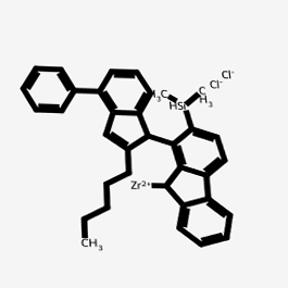 CCCCCC1=Cc2c(-c3ccccc3)cccc2C1c1c([SiH](C)C)ccc2c1[CH]([Zr+2])c1ccccc1-2.[Cl-].[Cl-]